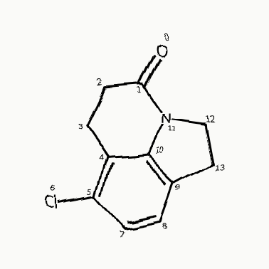 O=C1CCc2c(Cl)ccc3c2N1CC3